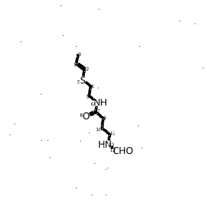 CC=CSCCNC(=O)CCCNC=O